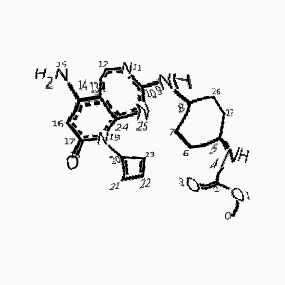 COC(=O)NC1CCC(Nc2ncc3c(N)cc(=O)n(C4=CC=C4)c3n2)CC1